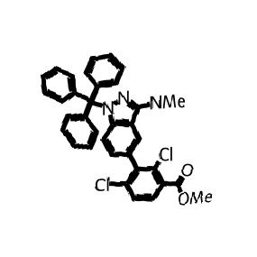 CNc1nn(C(c2ccccc2)(c2ccccc2)c2ccccc2)c2ccc(-c3c(Cl)ccc(C(=O)OC)c3Cl)cc12